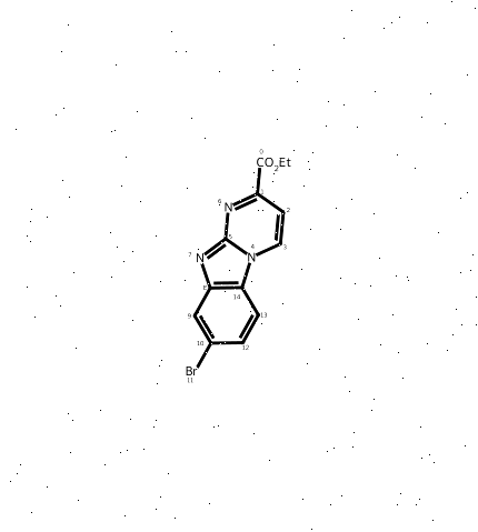 CCOC(=O)c1ccn2c(n1)nc1cc(Br)ccc12